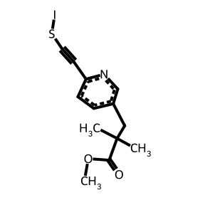 COC(=O)C(C)(C)Cc1ccc(C#CSI)nc1